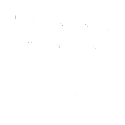 COC(=O)c1nc2c(NCc3ccco3)nc(Cl)nc2[nH]1